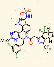 CSc1ncc(-c2cccc3c(NS(C)(=O)=O)nn(C)c23)c([C@H](Cc2cc(F)cc(F)c2)NC(=O)Cn2nc(C(F)(F)F)c3c2C(F)(F)[C@@H]2C=C[C@H]32)n1